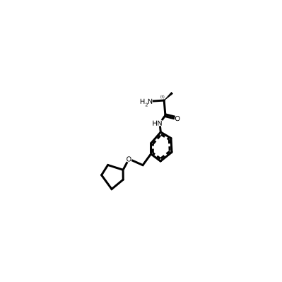 C[C@H](N)C(=O)Nc1cccc(COC2CCCC2)c1